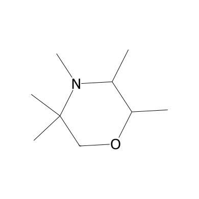 CC1OCC(C)(C)N(C)C1C